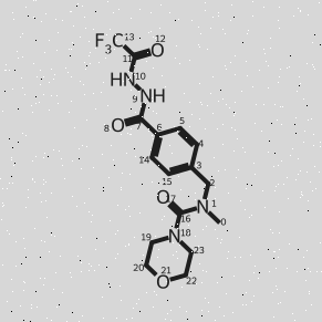 CN(Cc1ccc(C(=O)NNC(=O)C(F)(F)F)cc1)C(=O)N1CCOCC1